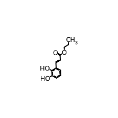 CCCOC(=O)/C=C/c1cccc(O)c1O